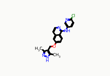 Cc1n[nH]c(C)c1COc1ccc2c(Nc3ccc(Cl)nc3)nccc2c1